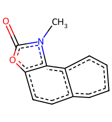 Cn1c(=O)oc2ccc3ccccc3c21